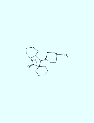 CN1CCN(C(C2CCCCC2)C2(C(N)=O)CCCCC2)CC1